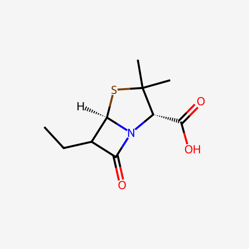 CCC1C(=O)N2[C@@H]1SC(C)(C)[C@@H]2C(=O)O